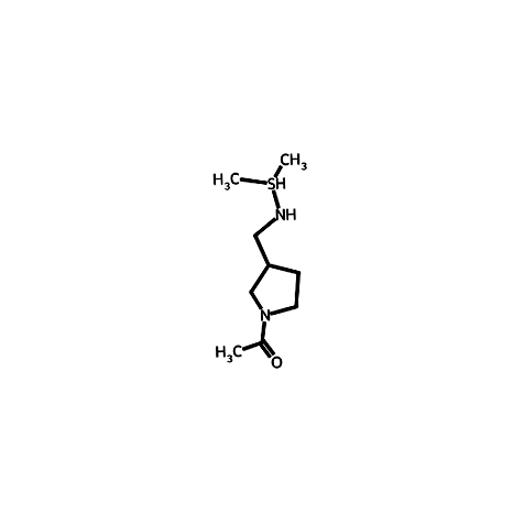 CC(=O)N1CCC(CN[SH](C)C)C1